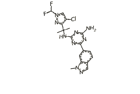 Cn1ncc2ccc(-c3nc(N)nc(NC(C)(C)c4nn(C(F)F)cc4Cl)n3)cc21